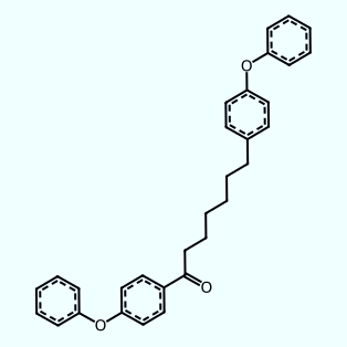 O=C(CCCCCCc1ccc(Oc2ccccc2)cc1)c1ccc(Oc2ccccc2)cc1